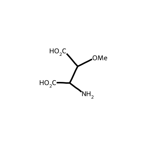 COC(C(=O)O)C(N)C(=O)O